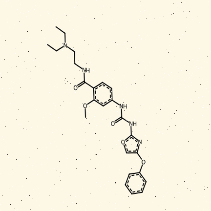 CCN(CC)CCNC(=O)c1ccc(NC(=O)Nc2nc(Oc3ccccc3)co2)cc1OC